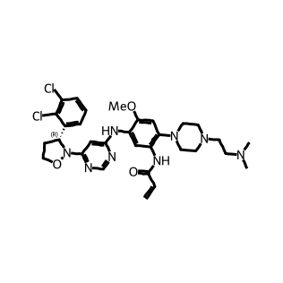 C=CC(=O)Nc1cc(Nc2cc(N3OCC[C@@H]3c3cccc(Cl)c3Cl)ncn2)c(OC)cc1N1CCN(CCN(C)C)CC1